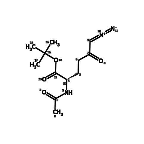 CC(=O)N[C@@H](CCC(=O)C=[N+]=[N-])C(=O)OC(C)(C)C